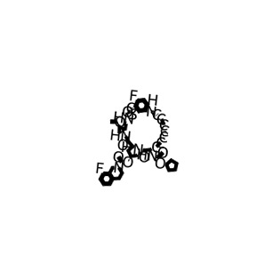 C=C[C@@H]1C[C@@]12NC(=O)[C@@H]1C[C@@H](OC(=O)N3CCc4cccc(F)c4C3)CN1C(=O)[C@@H](NC(=O)OC1CCCC1)CCCCCCCNc1ccc(F)cc1S(=O)(=O)NC2=O